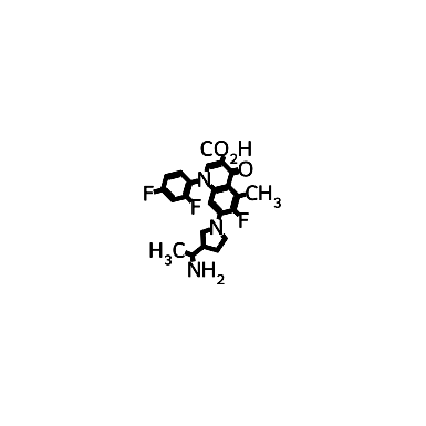 Cc1c(F)c(N2CCC(C(C)N)C2)cc2c1c(=O)c(C(=O)O)cn2-c1ccc(F)cc1F